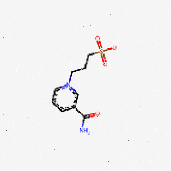 NC(=O)c1ccc[n+](CCCS(=O)(=O)[O-])c1